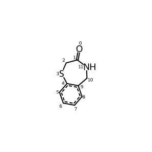 O=C1CSc2ccccc2CN1